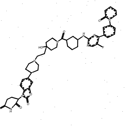 O=C1CCC(n2c(=O)oc3cc(C4CCN(CCC5(O)CCN(C(=O)C6CCCC(Nc7ncc(F)c(-c8cccc(-n9ccccc9=O)c8)n7)C6)CC5)CC4)ccc32)C(=O)N1